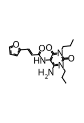 CCCn1c(N)c(NC(=O)/C=C/c2ccco2)c(=O)n(CCC)c1=O